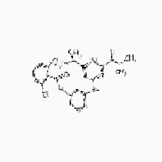 CC(C)Nc1nc(Nc2cc(NC(=O)c3c(Cl)cccc3Cl)ccn2)cc(C(C)C)n1